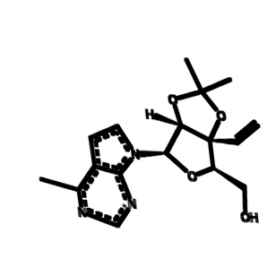 C=C[C@]12OC(C)(C)O[C@H]1[C@H](n1ccc3c(C)ncnc31)O[C@@H]2CO